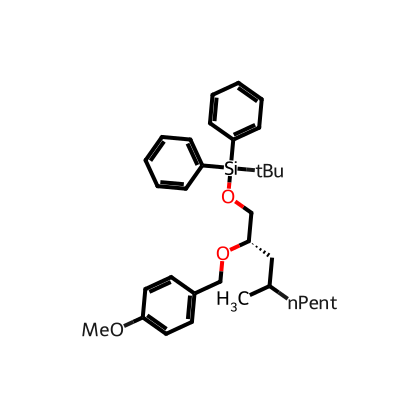 CCCCCC(C)C[C@@H](CO[Si](c1ccccc1)(c1ccccc1)C(C)(C)C)OCc1ccc(OC)cc1